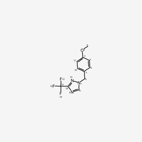 COc1ccc(Cn2cnc(C(F)(F)F)n2)cc1